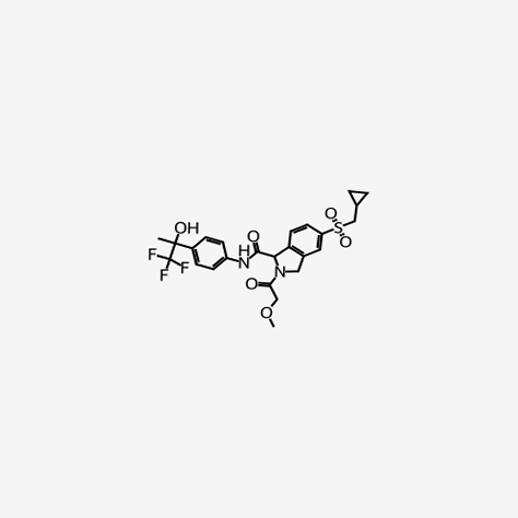 COCC(=O)N1Cc2cc(S(=O)(=O)CC3CC3)ccc2C1C(=O)Nc1ccc(C(C)(O)C(F)(F)F)cc1